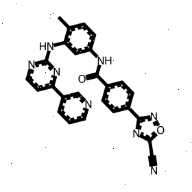 Cc1ccc(NC(=O)c2ccc(-c3noc(C#N)n3)cc2)cc1Nc1nccc(-c2cccnc2)n1